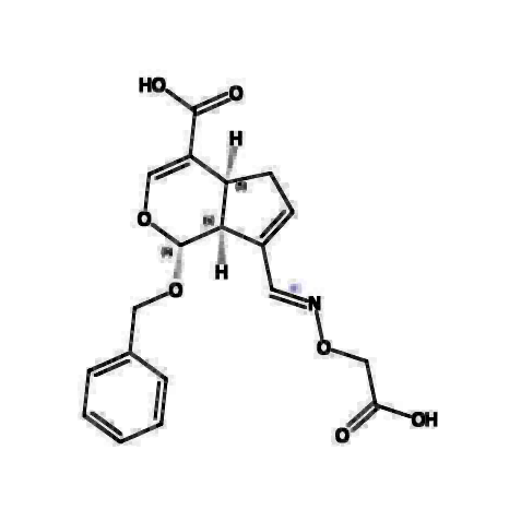 O=C(O)CO/N=C/C1=CC[C@@H]2C(C(=O)O)=CO[C@@H](OCc3ccccc3)[C@H]12